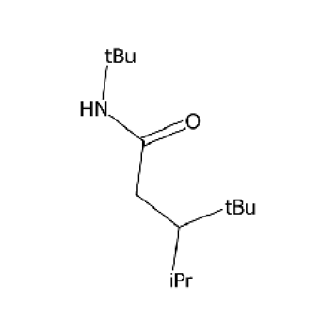 CC(C)C(CC(=O)NC(C)(C)C)C(C)(C)C